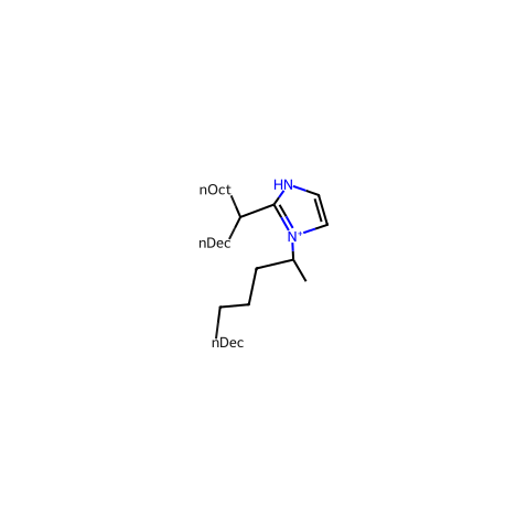 CCCCCCCCCCCCCC(C)[n+]1cc[nH]c1C(CCCCCCCC)CCCCCCCCCC